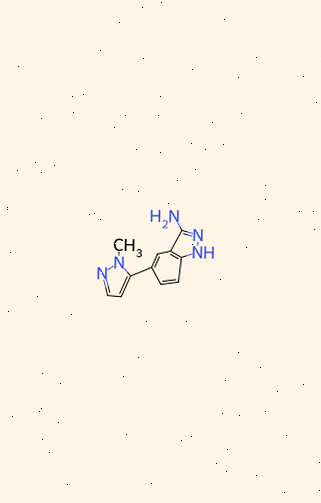 Cn1nccc1-c1ccc2[nH]nc(N)c2c1